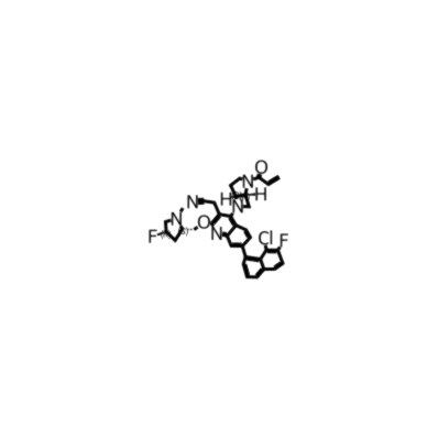 C=CC(=O)N1CC[C@@H]2[C@H]1CN2c1c(CC#N)c(OC[C@@H]2C[C@@H](F)CN2C)nc2cc(-c3cccc4ccc(F)c(Cl)c34)ccc12